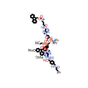 C#CCCOP(OC1C[C@H](n2cnc3c(NC(=O)CCCN(C)C(=O)OCC4c5ccccc5-c5ccccc54)ncnc32)O[C@@H]1COP(OCCC#N)OC1C[C@H](n2cnc3c(NC(O)c4ccc(CNC(=O)CCC(C)C)cc4)ncnc32)O[C@@H]1COC(c1ccccc1)(c1ccc(OC)cc1)c1ccc(OC)cc1)N(C(C)C)C(C)C